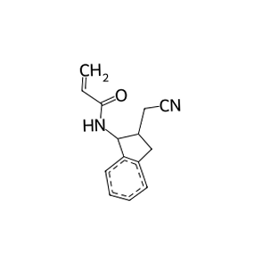 C=CC(=O)NC1c2ccccc2CC1CC#N